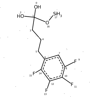 OC(O)(CCCc1cc(F)c(F)c(F)c1F)O[SiH3]